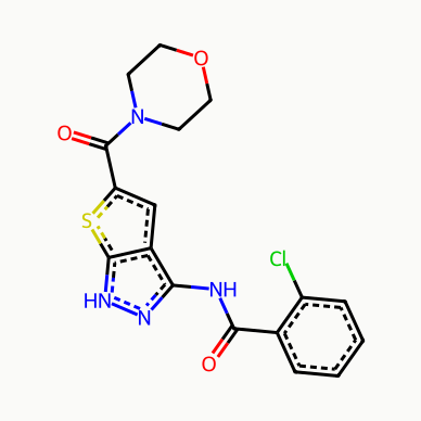 O=C(Nc1n[nH]c2sc(C(=O)N3CCOCC3)cc12)c1ccccc1Cl